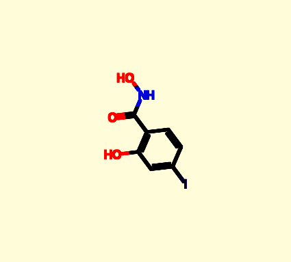 O=C(NO)c1ccc(I)cc1O